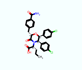 CCC[C@H](C(=O)O)N1C(=O)[C@H](Cc2ccc(C(N)=O)cc2)O[C@@H](c2ccc(Cl)cc2)[C@H]1c1ccc(Cl)cc1